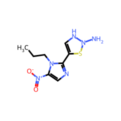 CCCn1c([N+](=O)[O-])cnc1C1=CNN(N)S1